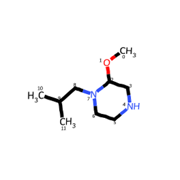 COC1CNCCN1CC(C)C